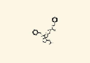 CC(=O)SC1CCCC1(CCCNC(=O)OCc1ccccc1)C(=O)OCc1ccccc1